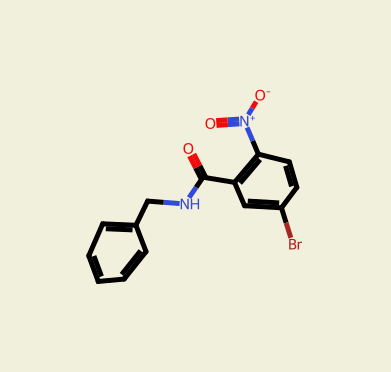 O=C(NCc1ccccc1)c1cc(Br)ccc1[N+](=O)[O-]